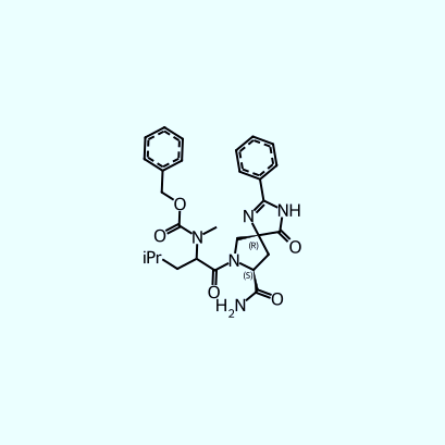 CC(C)CC(C(=O)N1C[C@@]2(C[C@H]1C(N)=O)N=C(c1ccccc1)NC2=O)N(C)C(=O)OCc1ccccc1